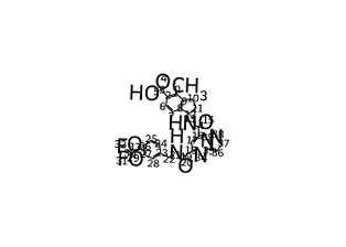 Cc1c(C(=O)O)ccc2c1CC[C@@H]2NC(=O)c1cc(C(=O)NCc2ccc3c(c2)OC(F)(F)O3)nc2ccnn12